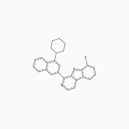 Fc1cccc2c1sc1c(-c3cc(C4CCCCC4)c4ccccc4c3)nccc12